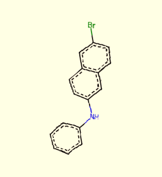 Brc1ccc2cc(Nc3ccccc3)ccc2c1